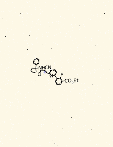 CCOC(=O)c1cccc(-c2cccc(/C=C(\C#N)C(=O)NC3(c4ccccc4)CCCC3)n2)c1F